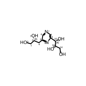 OC[C@H](O)Cc1cncc([C@@H](O)[C@@H](O)CO)n1